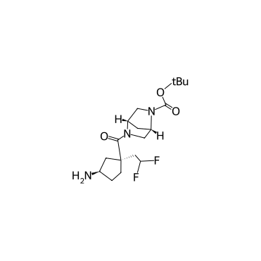 CC(C)(C)OC(=O)N1C[C@@H]2C[C@H]1CN2C(=O)[C@@]1(CC(F)F)CC[C@@H](N)C1